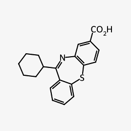 O=C(O)c1ccc2c(c1)N=C(C1CCCCC1)c1ccccc1S2